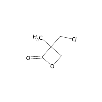 CC1(CCl)COC1=O